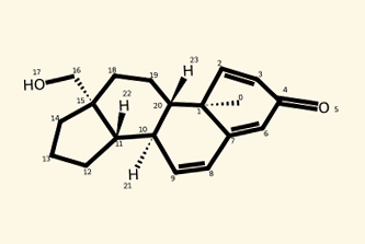 C[C@]12C=CC(=O)C=C1C=C[C@H]1[C@@H]3CCC[C@@]3(CO)CC[C@@H]12